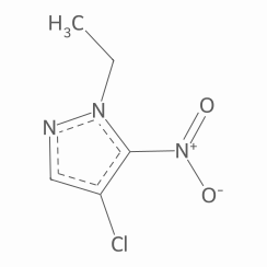 CCn1ncc(Cl)c1[N+](=O)[O-]